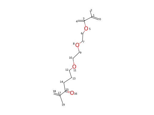 C=C(C)C(=C)OCCOCCOCCCC(=O)C(=C)C